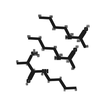 CCCCNC(=O)C(C)[SiH3].CCCCNC(C)=O.CCCCNC(C)=O